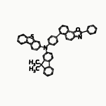 CC1(C)c2ccccc2-c2ccc(N(c3ccc(-c4cccc5c4ccc4nc(-c6ccccc6)oc45)cc3)c3ccc4c(c3)sc3ccccc34)cc21